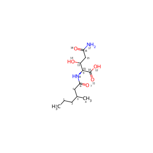 CCCC(C)CC(=O)N[C@H](C(=O)O)C(O)CC(N)=O